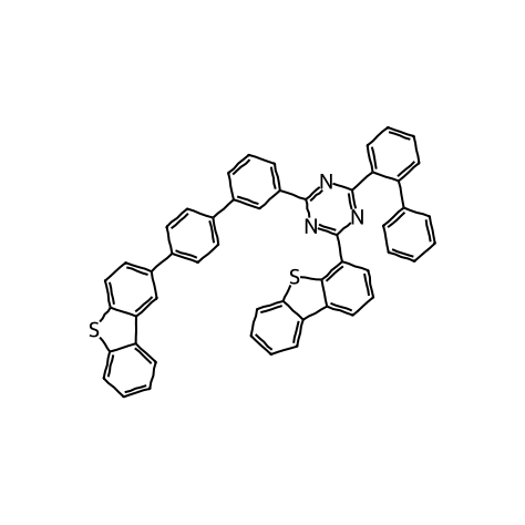 c1ccc(-c2ccccc2-c2nc(-c3cccc(-c4ccc(-c5ccc6sc7ccccc7c6c5)cc4)c3)nc(-c3cccc4c3sc3ccccc34)n2)cc1